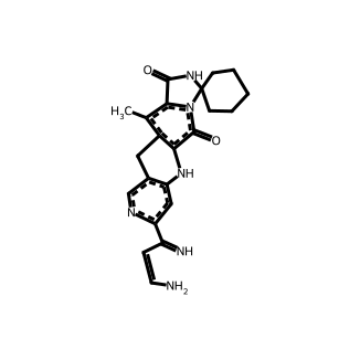 Cc1c2c(c(=O)n3c1C(=O)NC31CCCCC1)Nc1cc(C(=N)/C=C\N)ncc1C2